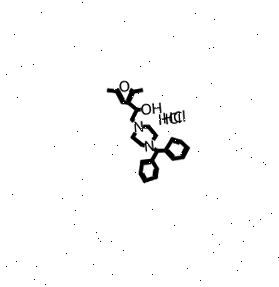 Cc1cc(C(O)CN2CCN(C(c3ccccc3)c3ccccc3)CC2)c(C)o1.Cl.Cl